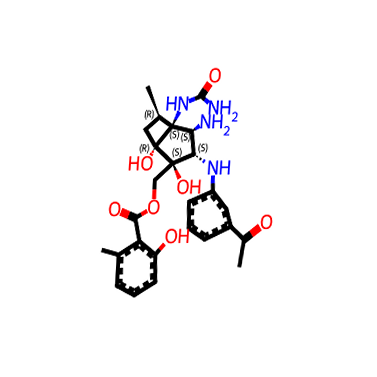 CC(=O)c1cccc(N[C@H]2[C@H](N)[C@@]3(NC(N)=O)[C@H](C)C[C@]3(O)[C@@]2(O)COC(=O)c2c(C)cccc2O)c1